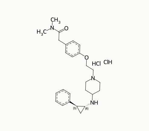 CN(C)C(=O)Cc1ccc(OCCN2CCC(N[C@@H]3C[C@H]3c3ccccc3)CC2)cc1.Cl.Cl